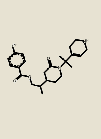 CC(C)c1ccc(C(=O)OCC(C)C2CCN(C(C)(C)C3=CCNCC3)C(=O)C2)cc1